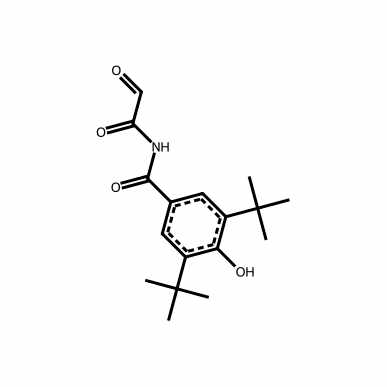 CC(C)(C)c1cc(C(=O)NC(=O)C=O)cc(C(C)(C)C)c1O